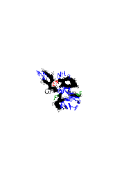 NC(=O)c1cccc(N2C(F)=Nc3[nH]ccc3C2(F)NCCCc2cccnc2)c1C=O